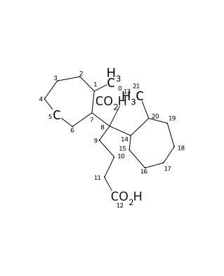 CC1CCCCCC1C(CCCC(=O)O)(C(=O)O)C1CCCCCC1C